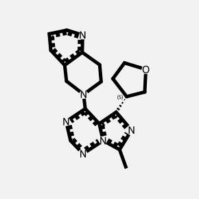 Cc1nc([C@@H]2CCOC2)c2c(N3CCc4ncccc4C3)ncnn12